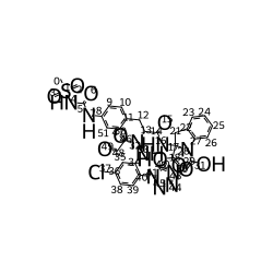 CS(=O)(=O)NC(=O)Nc1ccc(CC(C(=O)NC2(C(=O)O)Cc3ccccc3N2C(=O)O)N(Nc2cc(Cl)ccc2-n2cnnn2)C(=O)C=O)cc1